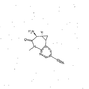 CN1C(=O)[C@@H](N)[C@H]2CC2c2cc(C#N)cnc21